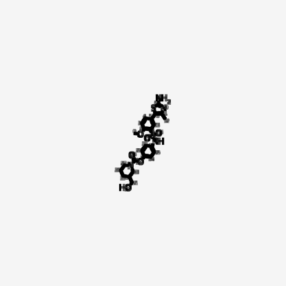 COc1ccc(-c2sc(N)nc2C)cc1S(=O)(=O)Nc1ccc(OC(=O)N2CCCC(CO)C2)cc1